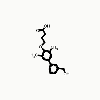 Cc1cc(-c2cccc(CO)c2)cc(C)c1OCCCC(=O)O